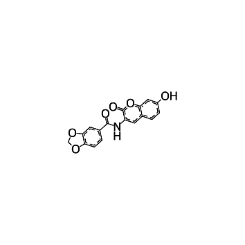 O=C(Nc1cc2ccc(O)cc2oc1=O)c1ccc2c(c1)OCO2